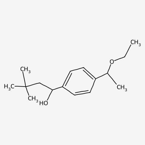 CCOC(C)c1ccc(C(O)CC(C)(C)C)cc1